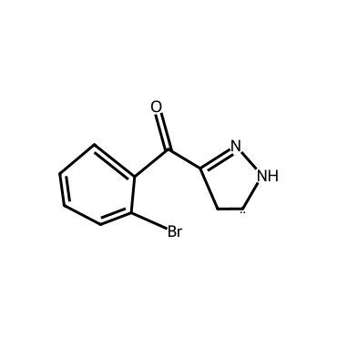 O=C(C1=NN[C]C1)c1ccccc1Br